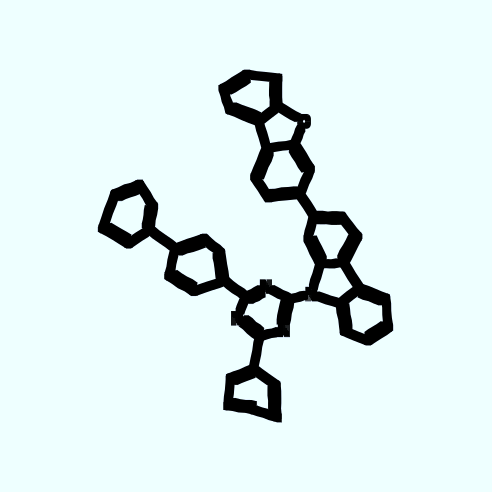 c1ccc(-c2ccc(-c3nc(-c4ccccc4)nc(-n4c5ccccc5c5ccc(-c6ccc7c(c6)oc6ccccc67)cc54)n3)cc2)cc1